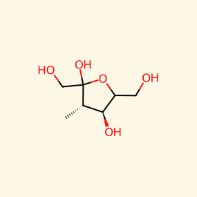 C[C@H]1[C@H](O)C(CO)OC1(O)CO